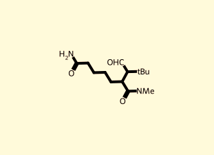 CNC(=O)C(CCCCC(N)=O)C(C=O)C(C)(C)C